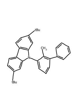 Cc1c(-c2ccccc2)cccc1-n1c2cc(C(C)(C)C)ccc2c2ccc(C(C)(C)C)cc21